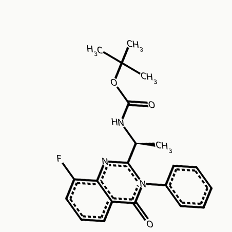 C[C@H](NC(=O)OC(C)(C)C)c1nc2c(F)cccc2c(=O)n1-c1ccccc1